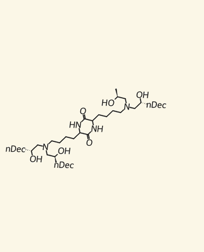 CCCCCCCCCC[C@@H](O)CN(CCCCC1NC(=O)C(CCCCN(C[C@H](O)CCCCCCCCCC)C[C@H](C)O)NC1=O)C[C@@H](O)CCCCCCCCCC